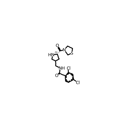 O=C(NCC1CN[C@H](C(=O)N2CCSC2)C1)c1ccc(Cl)cc1Cl